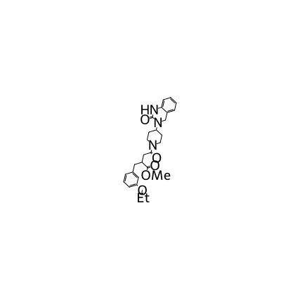 CCOc1cccc(CC(CC(=O)N2CCC(N3Cc4ccccc4NC3=O)CC2)C(=O)OC)c1